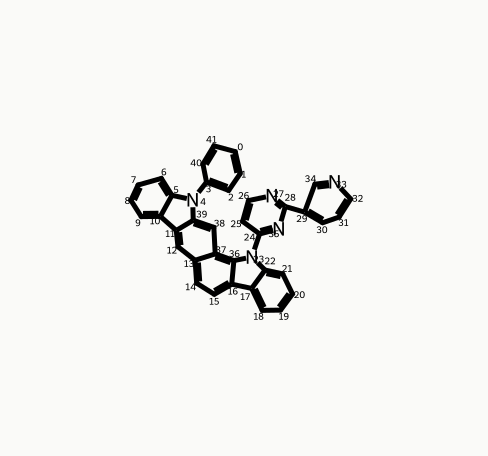 c1ccc(-n2c3ccccc3c3cc4ccc5c6ccccc6n(-c6ccnc(-c7cccnc7)n6)c5c4cc32)cc1